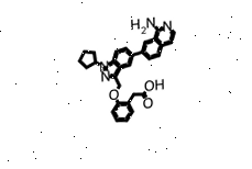 Nc1nccc2ccc(-c3ccc4c(c3)c(COc3ccccc3CC(=O)O)nn4C3CCCC3)cc12